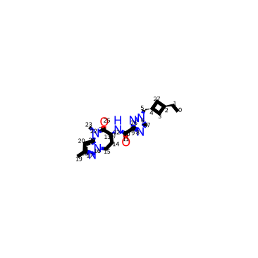 CC[C@H]1C[C@H](Cn2cnc(C(=O)N[C@H]3CCn4nc(C)cc4N(C)C3=O)n2)C1